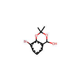 CC1(C)Oc2c(Br)cccc2C(O)O1